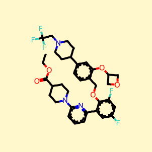 CCOC(=O)C1CCN(c2cccc(-c3cc(F)cc(F)c3OCc3ccc(C4CCN(CC(F)(F)F)CC4)cc3OC3COC3)n2)CC1